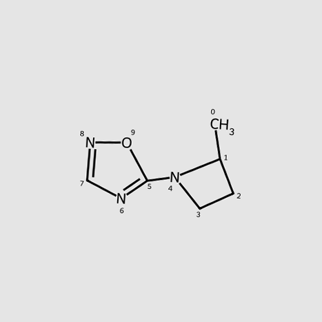 CC1CCN1c1ncno1